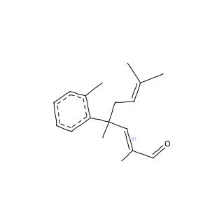 CC(C)=CCC(C)(/C=C(\C)C=O)c1ccccc1C